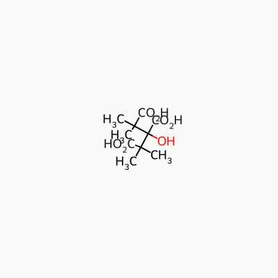 CC(C)(C(=O)O)C(O)(C(=O)O)C(C)(C)C(=O)O